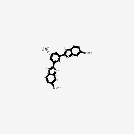 CCCCCC1=CC2=NC(c3cccc(C4=NC5C=CC(CCCCC)=CC5=N4)n3)=NC2C=C1.[Cl-].[Cl-].[Co+2]